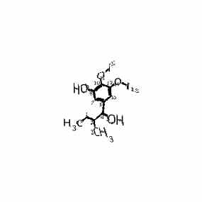 CCC(C)C(O)c1cc(O)c(OI)c(OI)c1